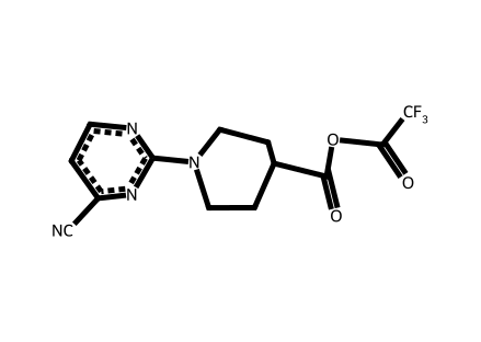 N#Cc1ccnc(N2CCC(C(=O)OC(=O)C(F)(F)F)CC2)n1